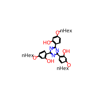 CCCCCCOc1ccc(-c2nc(-c3ccc(OCCCCCC)cc3O)nc(-c3ccc(OCCCCCC)cc3O)n2)c(O)c1